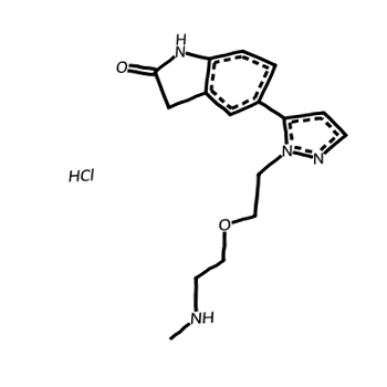 CNCCOCCn1nccc1-c1ccc2c(c1)CC(=O)N2.Cl